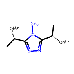 CO[C@@H](C)c1nnc([C@H](C)OC)n1N